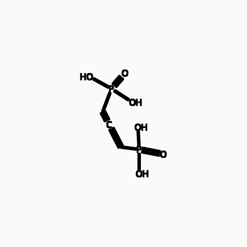 O=P(O)(O)C=C=CP(=O)(O)O